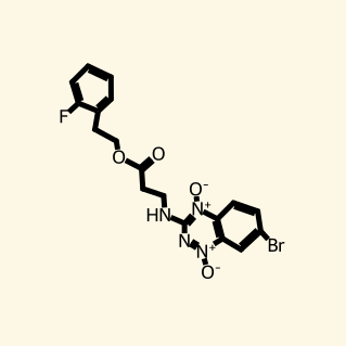 O=C(CCNc1n[n+]([O-])c2cc(Br)ccc2[n+]1[O-])OCCc1ccccc1F